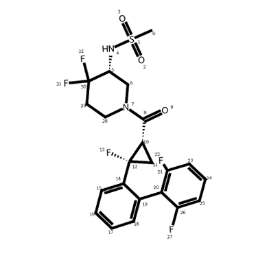 CS(=O)(=O)N[C@@H]1CN(C(=O)[C@@H]2C[C@@]2(F)c2ccccc2-c2c(F)cccc2F)CCC1(F)F